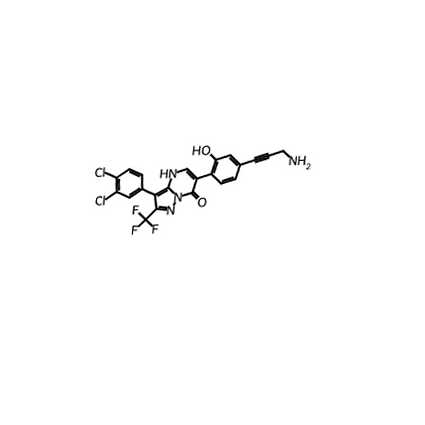 NCC#Cc1ccc(-c2c[nH]c3c(-c4ccc(Cl)c(Cl)c4)c(C(F)(F)F)nn3c2=O)c(O)c1